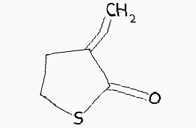 C=C1CCSC1=O